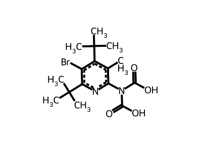 Cc1c(N(C(=O)O)C(=O)O)nc(C(C)(C)C)c(Br)c1C(C)(C)C